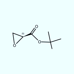 CC(C)(C)OC(=O)[C@@H]1CO1